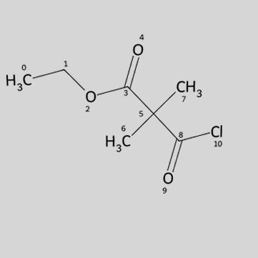 CCOC(=O)C(C)(C)C(=O)Cl